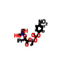 CC(OC(=O)Oc1ccc([N+](=O)[O-])cc1)OC(=O)[C@@H](ON(O)O)C(C)C